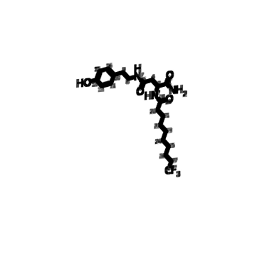 NC(=O)C(CC(=O)NCCc1ccc(O)cc1)NC(=O)CCCCCCCCC(F)(F)F